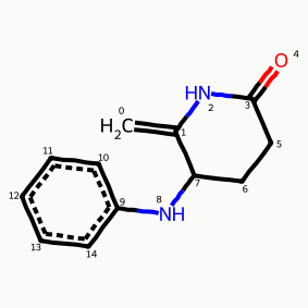 C=C1NC(=O)CCC1Nc1ccccc1